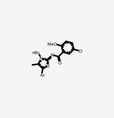 CCCCn1c(C)c(C(C)=O)sc1=NC(=O)c1cc(Cl)ccc1OC